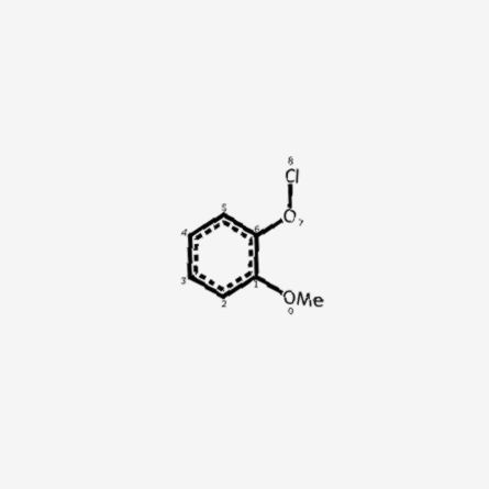 COc1ccccc1OCl